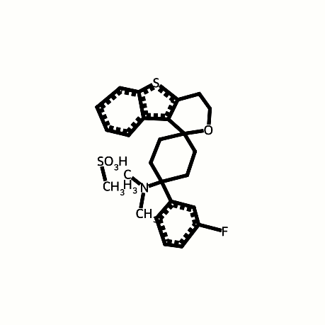 CN(C)C1(c2cccc(F)c2)CCC2(CC1)OCCc1sc3ccccc3c12.CS(=O)(=O)O